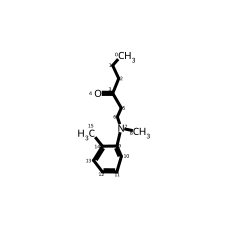 CCCC(=O)CCN(C)c1ccccc1C